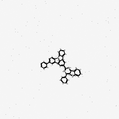 c1ccc(-c2ccc3c(c2)c2cc(-c4nc(-c5ccccc5)c5sc6ccccc6c5n4)cc4c5ccccc5n3c42)cc1